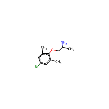 Cc1cc(Br)cc(C)c1OCC(C)N